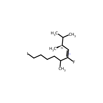 CC(CCCCI)/C(F)=C\[C@@H](C)C(C)C